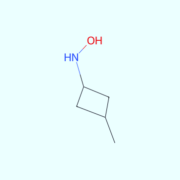 CC1CC(NO)C1